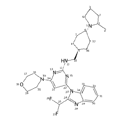 CC1CCCN1[C@H]1CC[C@H](CNc2nc(N3CCOCC3)cc(-n3c(C(F)F)nc4ccccc43)n2)CC1